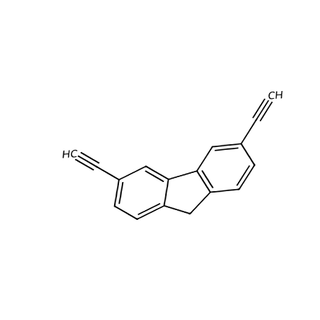 C#Cc1ccc2c(c1)-c1cc(C#C)ccc1C2